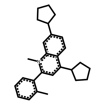 Cc1ccccc1-c1cc(C2CCCC2)c2ccc(C3CCCC3)cc2[n+]1C